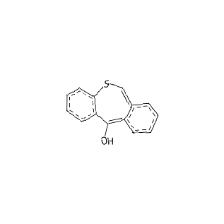 OC1=c2ccccc2=CSc2ccccc21